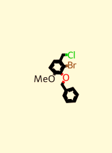 COc1ccc(CCl)c(Br)c1OCc1ccccc1